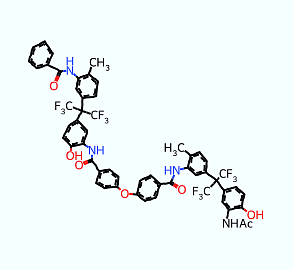 CC(=O)Nc1cc(C(c2ccc(C)c(NC(=O)c3ccc(Oc4ccc(C(=O)Nc5cc(C(c6ccc(C)c(NC(=O)c7ccccc7)c6)(C(F)(F)F)C(F)(F)F)ccc5O)cc4)cc3)c2)(C(F)(F)F)C(F)(F)F)ccc1O